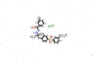 CC(C)(Cc1ccc(S(=O)(=O)c2cccc(C(=O)O)c2)cc1)NC[C@H](O)c1cccc(Cl)c1.Cl